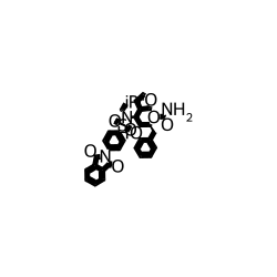 CC(C)CN([C@@H](C1CCOC1)[C@@H](O)[C@H](Cc1ccccc1)OC(N)=O)S(=O)(=O)c1ccc(N2C(=O)c3ccccc3C2=O)cc1